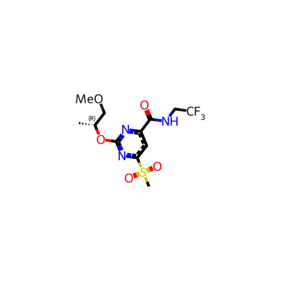 COC[C@@H](C)Oc1nc(C(=O)NCC(F)(F)F)cc(S(C)(=O)=O)n1